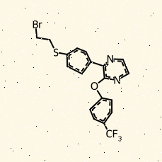 FC(F)(F)c1ccc(Oc2nccnc2-c2ccc(SCCBr)cc2)cc1